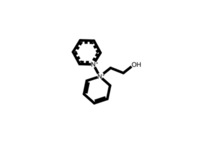 OCC[N+]1([n+]2ccccc2)C=CC=CC1